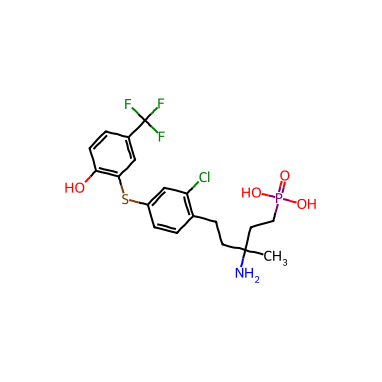 CC(N)(CCc1ccc(Sc2cc(C(F)(F)F)ccc2O)cc1Cl)CCP(=O)(O)O